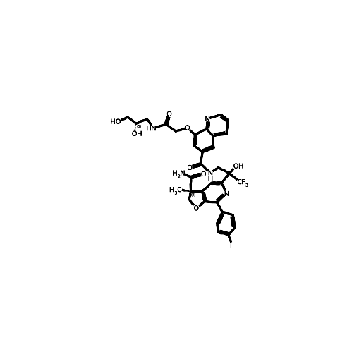 C[C@]1(C(N)=O)COc2c1cc(C(O)(CNC(=O)c1cc(OCC(=O)NC[C@H](O)CO)c3ncccc3c1)C(F)(F)F)nc2-c1ccc(F)cc1